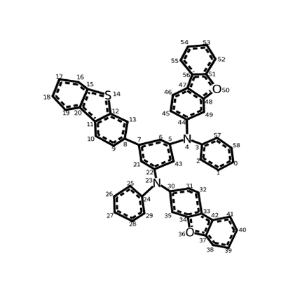 c1ccc(N(c2cc(-c3ccc4c(c3)sc3ccccc34)cc(N(c3ccccc3)c3ccc4c(c3)oc3ccccc34)c2)c2ccc3c(c2)oc2ccccc23)cc1